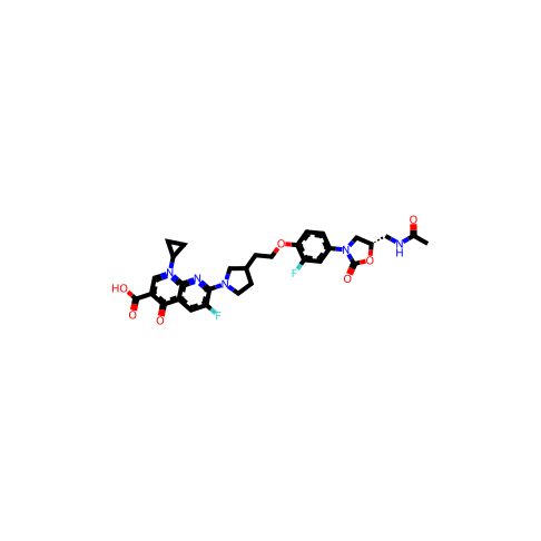 CC(=O)NC[C@H]1CN(c2ccc(OCCC3CCN(c4nc5c(cc4F)c(=O)c(C(=O)O)cn5C4CC4)C3)c(F)c2)C(=O)O1